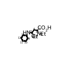 CCN(CC)C(CC(=O)Nc1ccccc1)C(=O)O